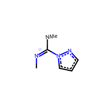 C/N=C(/NC)n1cccn1